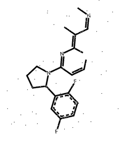 C\C=C/C(=N\C(C)=C(C)\C=N/C)N1CCCC1c1cc(F)ccc1F